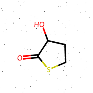 O=C1SCCC1O